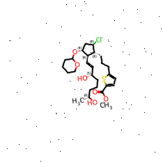 COC(=O)c1ccc(CCC[C@@H]2[C@@H](C=C[C@@H](O)CCC[C@@H](C)O)[C@H](OC3CCCCO3)C[C@H]2Cl)s1